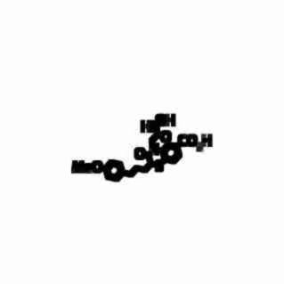 COc1ccc(CCCC2Sc3ccc(C(=O)O)cc3N(CC(=O)NO)C2=O)cc1